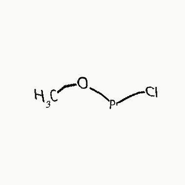 CO[P]Cl